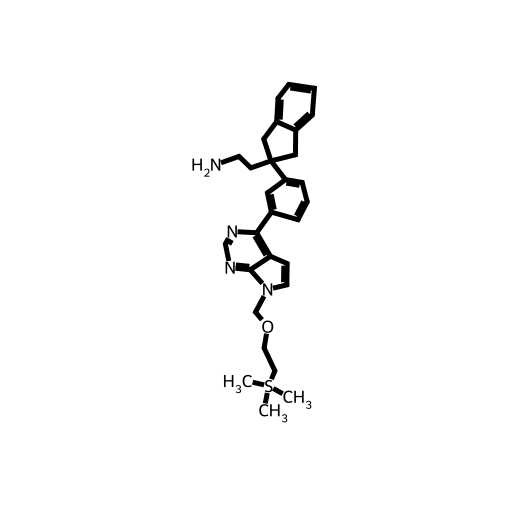 CS(C)(C)CCOCn1ccc2c(-c3cccc(C4(CCN)Cc5ccccc5C4)c3)ncnc21